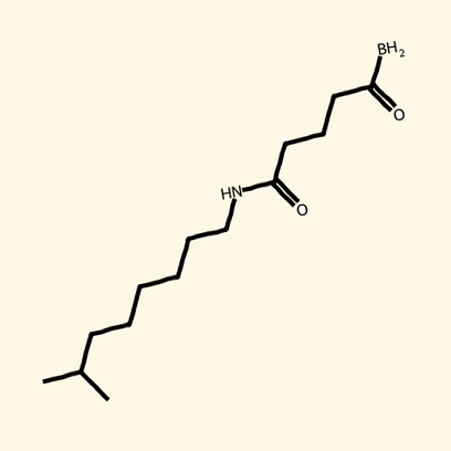 BC(=O)CCCC(=O)NCCCCCCC(C)C